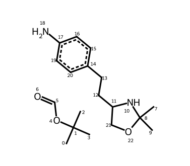 CC(C)(C)OC=O.CC1(C)NC(CCc2ccc(N)cc2)CO1